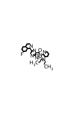 CCCN(CCC)c1cccnc1NC(=O)c1nc(-c2nccc3ccc(F)cc23)cnc1N